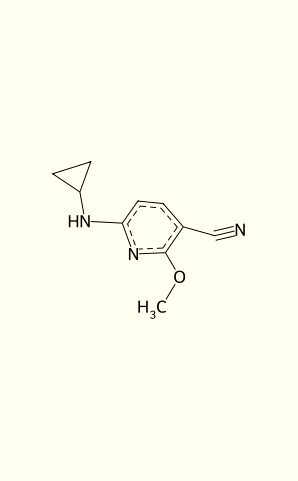 COc1nc(NC2CC2)ccc1C#N